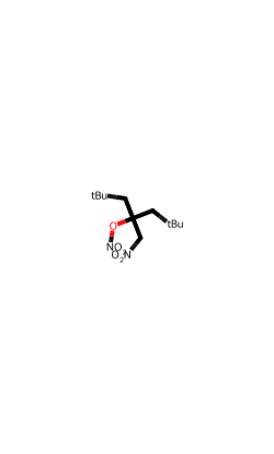 CC(C)(C)CC(C[N+](=O)[O-])(CC(C)(C)C)O[N+](=O)[O-]